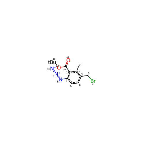 Cc1c(CBr)ccc(N=[N+]=[N-])c1C(=O)OC(C)(C)C